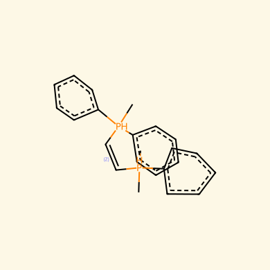 C[PH](C)(/C=C\[PH](C)(c1ccccc1)c1ccccc1)c1ccccc1